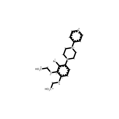 CC(=O)c1c(N2CCN(c3ccncc3)CC2)ccc(OCC(=O)O)c1OCC(=O)O